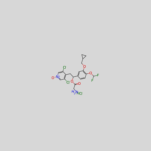 Cl.NCC(=O)OC(Cc1c(Cl)c[n+]([O-])cc1Cl)c1ccc(OC(F)F)c(OCC2CC2)c1